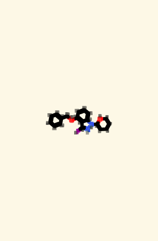 Ic1nn(C2CCCCO2)c2cccc(OCc3ccccc3)c12